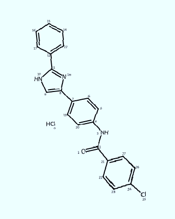 Cl.O=C(Nc1ccc(-c2c[nH]c(-c3ccccc3)n2)cc1)c1ccc(Cl)cc1